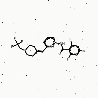 O=C(Nc1cccc(C=C2CCN(CC(F)(F)F)CC2)n1)c1c(F)cc(F)cc1F